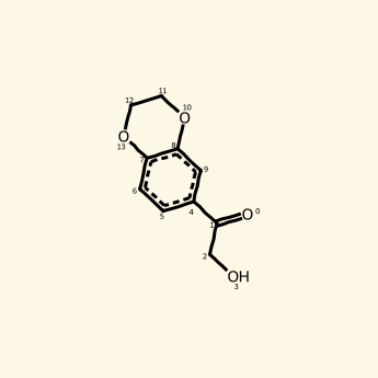 O=C(CO)c1ccc2c(c1)OCCO2